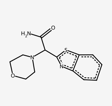 NC(=O)C(c1nc2ccccc2s1)N1CCOCC1